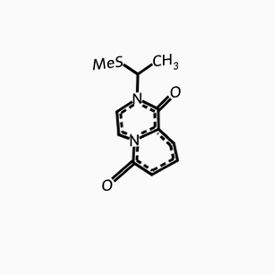 CSC(C)n1ccn2c(=O)cccc2c1=O